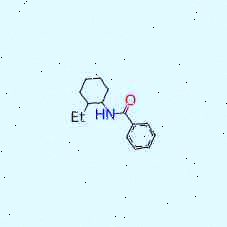 CCC1CCCCC1NC(=O)c1ccccc1